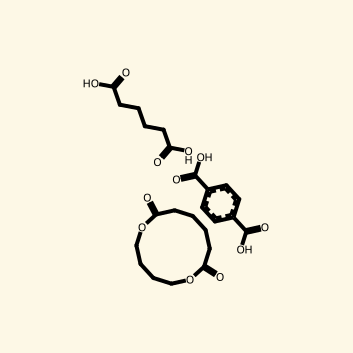 O=C(O)CCCCC(=O)O.O=C(O)c1ccc(C(=O)O)cc1.O=C1CCCCC(=O)OCCCCO1